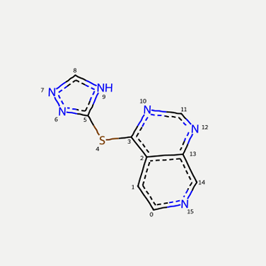 c1cc2c(Sc3nnc[nH]3)ncnc2cn1